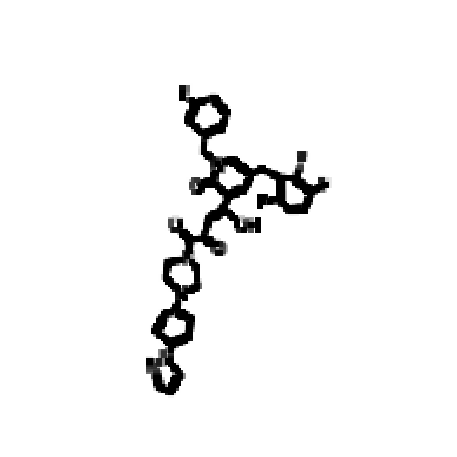 O=C(C=C(O)c1cc(Cc2c(F)ccc(F)c2F)cn(Cc2cccc(F)c2)c1=O)C(=O)N1CCN(c2ccc(-n3cccn3)cc2)CC1